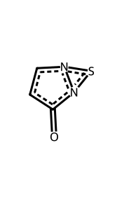 O=c1ccn2sn12